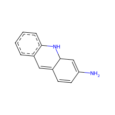 NC1=CC2Nc3ccccc3C=C2C=C1